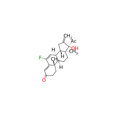 C=C1C[C@H]2[C@@H]3C=C(F)C4=CC(=O)CC[C@@]4(C)[C@@H]3CC[C@]2(C)[C@@]1(O)C(C)=O